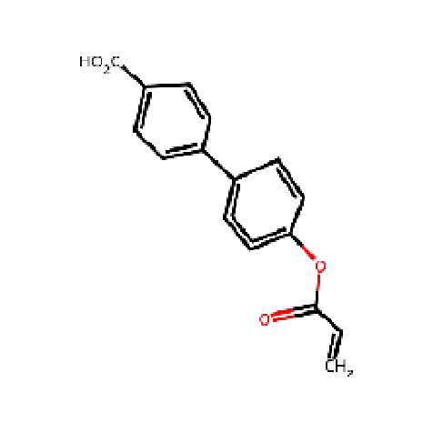 C=CC(=O)OC1=C=C=C(c2ccc(C(=O)O)cc2)C=C1